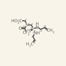 C=CCNP(=S)(CN(CC(=O)O)C(=O)C(F)(F)F)NCC=C